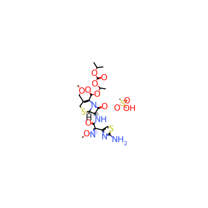 COCC1=C(C(=O)OC(C)OC(=O)OC(C)C)N2C(=O)[C@@H](NC(=O)/C(=N\OC)c3csc(N)n3)[C@H]2SC1.CS(=O)(=O)O